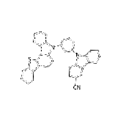 N#Cc1ccc2c(c1)c1ccccc1n2-c1cccc(-n2c3ccccc3c3c4sc5ccccc5c4ccc32)c1